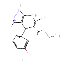 CCOC(=O)C1=C(C)Nc2c(c(C)nn2C)C1c1cccc(OC)c1